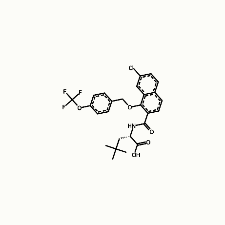 CC(C)(C)C[C@H](NC(=O)c1ccc2ccc(Cl)cc2c1OCc1ccc(OC(F)(F)F)cc1)C(=O)O